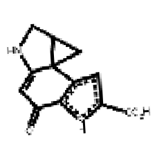 O=C(O)c1cc2c([nH]1)C(=O)C=C1NCC3CC123